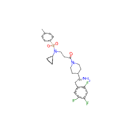 Cc1ccc(S(=O)(=O)N(CCC(=O)N2CCC([C@H](N)Cc3cc(F)c(F)cc3F)CC2)C2CC2)cc1